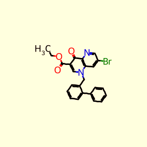 CCOC(=O)c1cn(Cc2ccccc2-c2ccccc2)c2cc(Br)cnc2c1=O